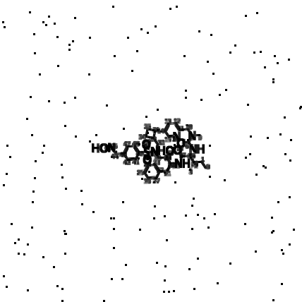 CC[C@H](C)[C@H](NC(=O)N(C)Cc1ccccn1)C(=O)N[C@@H](Cc1ccccc1)[C@@H](O)CN(CC1CCC1)S(=O)(=O)c1ccc(C=NO)cc1